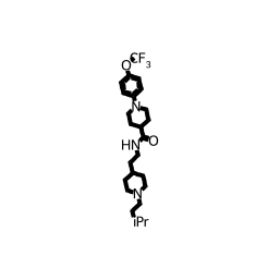 CC(C)CCN1CCC(CCNC(=O)C2CCN(c3ccc(OC(F)(F)F)cc3)CC2)CC1